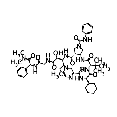 CCC[C@H](NC(=O)[C@@H]1CN(C(=O)Nc2ccccc2)C[C@@H]1NC(=O)[C@@H](NC(=O)[C@@H](NC(=O)c1cnccn1)C1CCCCC1)C(C)(C)C)C(O)C(=O)NCC(=O)N[C@H](C(=O)N(C)C)c1ccccc1